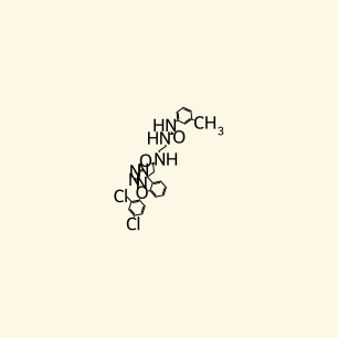 Cc1cccc(NC(=O)NCCNC(=O)CC2(c3ccccc3Oc3ccc(Cl)cc3Cl)N=NN=N2)c1